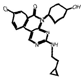 O=c1c2cc(Cl)ccc2c2cnc(NCCC3CC3)nc2n1C1CCC(O)CC1